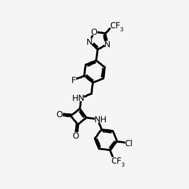 O=c1c(NCc2ccc(-c3noc(C(F)(F)F)n3)cc2F)c(Nc2ccc(C(F)(F)F)c(Cl)c2)c1=O